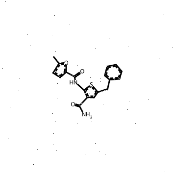 Cc1ccc(C(=O)Nc2sc(Cc3ccccc3)cc2C(N)=O)o1